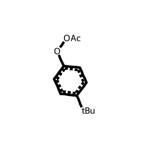 CC(=O)OOc1ccc(C(C)(C)C)cc1